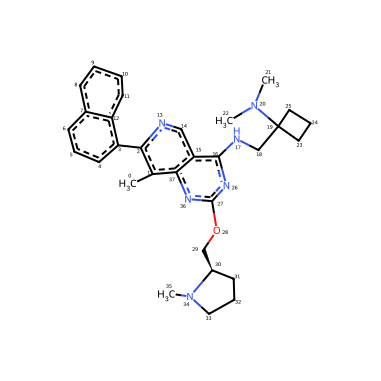 Cc1c(-c2cccc3ccccc23)ncc2c(NCC3(N(C)C)CCC3)nc(OC[C@H]3CCCN3C)nc12